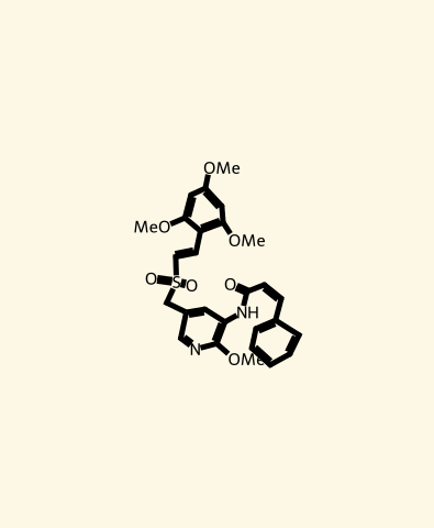 COc1cc(OC)c(/C=C/S(=O)(=O)Cc2cnc(OC)c(NC(=O)/C=C\c3ccccc3)c2)c(OC)c1